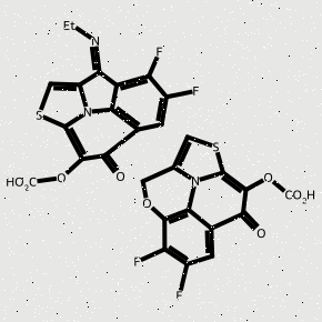 CCN=c1c2c(F)c(F)cc3c(=O)c(OC(=O)O)c4scc1n4c32.O=C(O)Oc1c(=O)c2cc(F)c(F)c3c2n2c(csc12)CO3